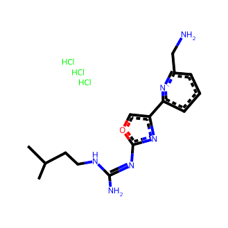 CC(C)CCNC(N)=Nc1nc(-c2cccc(CN)n2)co1.Cl.Cl.Cl